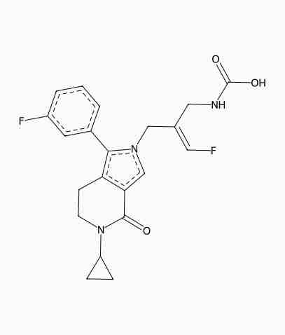 O=C(O)NCC(=CF)Cn1cc2c(c1-c1cccc(F)c1)CCN(C1CC1)C2=O